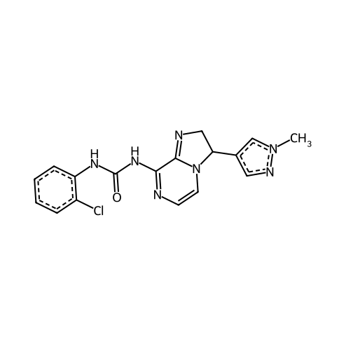 Cn1cc(C2CN=C3C(NC(=O)Nc4ccccc4Cl)=NC=CN32)cn1